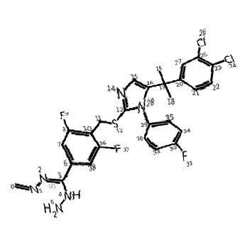 C=N/N=C(\NN)c1cc(F)c(CSc2ncc(C(C)(C)c3ccc(Cl)c(Cl)c3)n2-c2ccc(F)cc2)c(F)c1